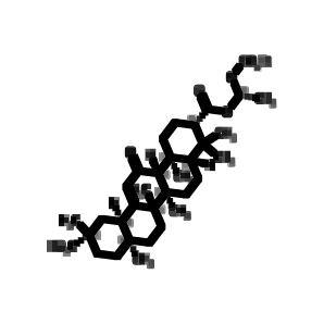 CCOC(=O)O[C@H](C)OC(=O)[C@H]1CC[C@]2(C)[C@H]3C(=O)C=C4[C@@H]5C[C@@](C)(C(=O)O)CC[C@]5(C)CC[C@@]4(C)[C@]3(C)CC[C@H]2C1(C)C